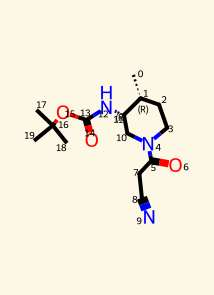 C[C@@H]1CCN(C(=O)CC#N)C[C@@H]1NC(=O)OC(C)(C)C